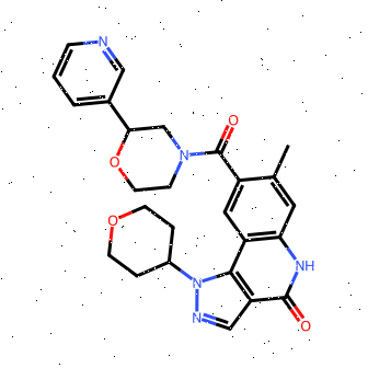 Cc1cc2[nH]c(=O)c3cnn(C4CCOCC4)c3c2cc1C(=O)N1CCOC(c2cccnc2)C1